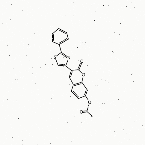 CC(=O)Oc1ccc2cc(-c3csc(-c4ccccc4)n3)c(=O)oc2c1